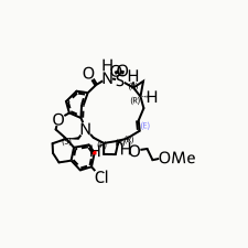 COCCO[C@H]1/C=C/C[C@@H]2C[C@H]2S(=O)(=O)NC(=O)c2ccc3c(c2)N(C[C@@H]2CC[C@H]21)C[C@@]1(CCCc2cc(Cl)ccc21)CO3